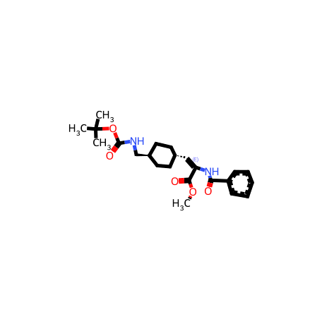 COC(=O)/C(=C\[C@H]1CC[C@H](CNC(=O)OC(C)(C)C)CC1)NC(=O)c1ccccc1